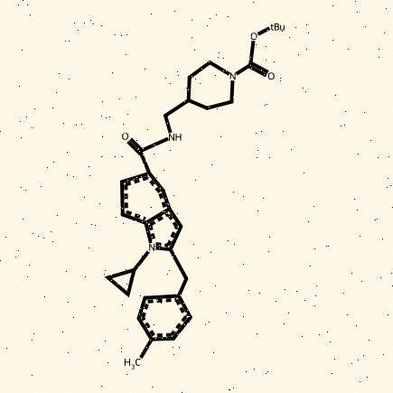 Cc1ccc(Cc2cc3cc(C(=O)NCC4CCN(C(=O)OC(C)(C)C)CC4)ccc3n2C2CC2)cc1